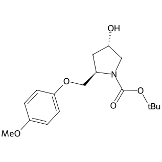 COc1ccc(OC[C@H]2C[C@H](O)CN2C(=O)OC(C)(C)C)cc1